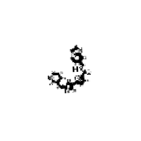 O=C(NCc1ccn2ccnc2c1)c1ccc(-c2cnn(CC3CCCOC3)c2)o1